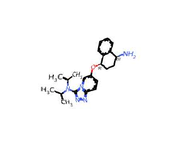 CC(C)N(c1nnc2ccc(O[C@@H]3CC[C@H](N)c4ccccc43)cn12)C(C)C